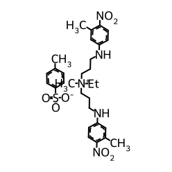 CC[N+](C)(CCCNc1ccc([N+](=O)[O-])c(C)c1)CCCNc1ccc([N+](=O)[O-])c(C)c1.Cc1ccc(S(=O)(=O)[O-])cc1